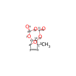 CC12C=CC(O1)C1OC(=O)OC(=O)OC12